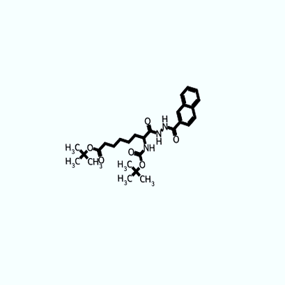 CC(C)(C)OC(=O)CCCCCC(NC(=O)OC(C)(C)C)C(=O)NNC(=O)c1ccc2ccccc2c1